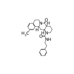 Cc1ccc2c(c1)[C@H]1C[C@@H]3[C@@H](CCCN3C(=O)NCCc3ccccc3)C(=O)N1CC2